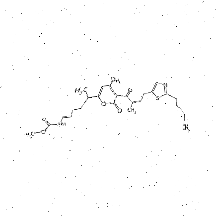 CCCCc1ncc(C/C=C(/C)C(=O)c2c(O)cc(C(C)CC/C=C/NC(=O)OC)oc2=O)s1